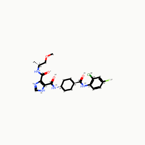 COC[C@@H](C)NC(=O)c1nc[nH]c1C(=O)N[C@H]1CC[C@H](C(=O)Nc2ccc(F)cc2Cl)CC1